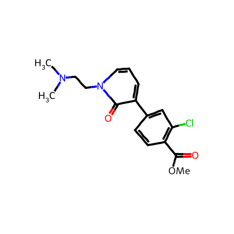 COC(=O)c1ccc(-c2cccn(CCN(C)C)c2=O)cc1Cl